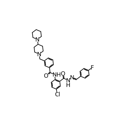 O=C(Nc1ccc(Cl)cc1C(=O)NN=Cc1ccc(F)cc1)c1cccc(CN2CCC(N3CCCCC3)CC2)c1